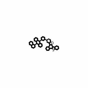 C1=c2oc3c(c2=CC(c2cccc(-c4c5ccccc5c(-c5cccc6ccccc56)c5ccccc45)c2)C1)c1ccccc1c1sc2ccccc2c31